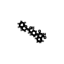 O=c1[nH]c(=O)n(C2CCN(C[C@@H](O)[C@H]3CCc4ccccc4O3)CC2)c2ccccc12